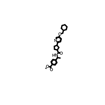 COC(=O)c1ccc(C(C)NC(=O)C2CCC(c3ccc(OCC4CCCCC4)cn3)C2)cc1